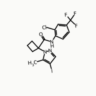 Cc1c(I)cnn1C1(C(=O)Nc2ccc(C(F)(F)F)cc2Cl)CCC1